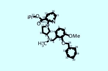 COc1cccc(CN(C)[C@H]2CCN(c3ncccc3C(=O)OC(C)C)C2)c1OCc1ccccc1